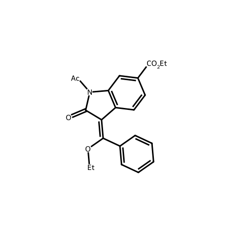 CCOC(=O)c1ccc2c(c1)N(C(C)=O)C(=O)/C2=C(\OCC)c1ccccc1